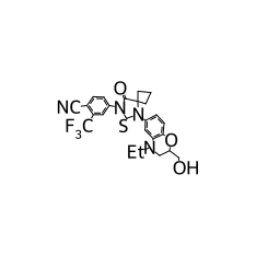 CCN1CC(CO)Oc2ccc(N3C(=S)N(c4ccc(C#N)c(C(F)(F)F)c4)C(=O)C34CCC4)cc21